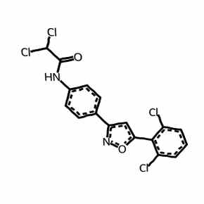 O=C(Nc1ccc(-c2cc(-c3c(Cl)cccc3Cl)on2)cc1)C(Cl)Cl